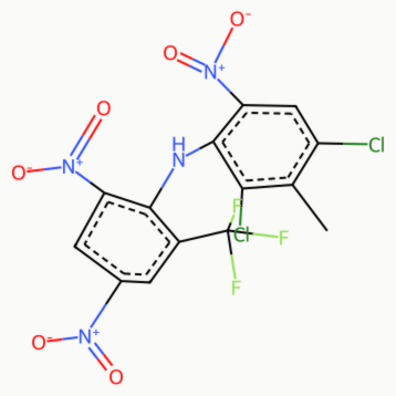 Cc1c(Cl)cc([N+](=O)[O-])c(Nc2c([N+](=O)[O-])cc([N+](=O)[O-])cc2C(F)(F)F)c1Cl